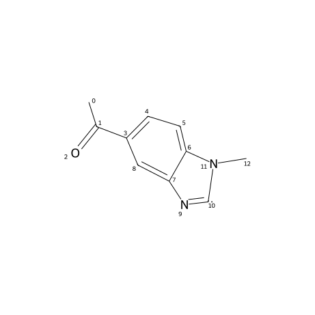 CC(=O)c1ccc2c(c1)n[c]n2C